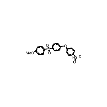 COc1ccc(S(=O)(=O)c2ccc(Oc3ccc([SH](=O)=O)cc3)cc2)cc1